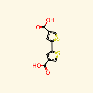 O=C(O)c1csc(-c2cc(C(=O)O)cs2)c1